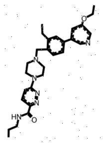 CCCNC(=O)c1ccc(N2CCN(Cc3ccc(-c4cncc(OCC)c4)cc3CC)CC2)nn1